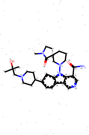 CN1CC[C@@]2(CCCN(n3c4cc(C5CCN(CC(C)(C)O)CC5)ccc4c4cncc(C(N)=O)c43)C2)C1=O